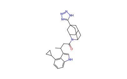 CC(CC(=O)N1C2CC3CC1CC(c1nnn[nH]1)(C3)C2)c1c[nH]c2cccc(C3CC3)c12